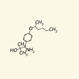 CCCCC(C)Oc1ccc(C(N)C(C)(C)O)cc1